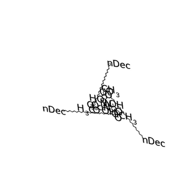 CCCCCCCCCCCCCCCCCCCCCCCCCCCCCCCCOC(=O)C(C)Oc1ccc(-c2nc(-c3ccc(OC(C)C(=O)OCCCCCCCCCCCCCCCCCCCCCCCCCCCCCCCC)cc3O)nc(-c3ccc(OC(C)C(=O)OCCCCCCCCCCCCCCCCCCCCCCCCCCCCCCCC)cc3O)n2)c(O)c1